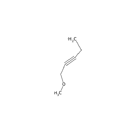 [CH2]CC#CCOC